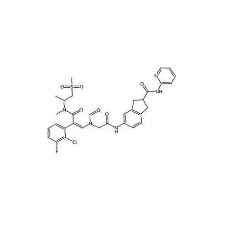 CC(CS(C)(=O)=O)N(C)C(=O)/C(=C\N(C=O)CC(=O)Nc1ccc2c(c1)CC(C(=O)Nc1ccccn1)C2)c1cccc(F)c1Cl